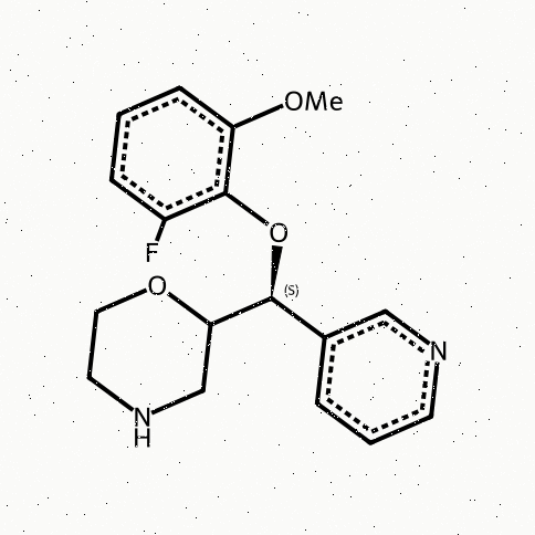 COc1cccc(F)c1O[C@@H](c1cccnc1)C1CNCCO1